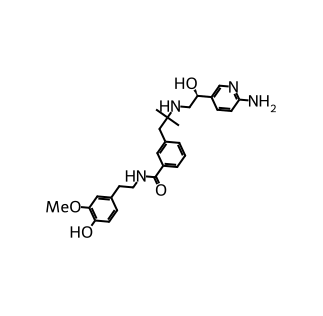 COc1cc(CCNC(=O)c2cccc(CC(C)(C)NC[C@@H](O)c3ccc(N)nc3)c2)ccc1O